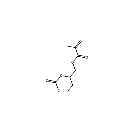 C=C(C)C(=O)OCC(CCl)OC(=O)Cl